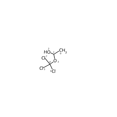 CC(O)OC(Cl)(Cl)Cl